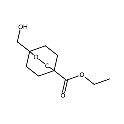 CCOC(=O)C12CCC(CO)(CC1)OC2